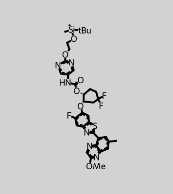 COc1cnc2c(-c3nc4cc(F)c(O[C@H]5CC(F)(F)CC[C@H]5OC(=O)Nc5cnc(OCCO[Si](C)(C)C(C)(C)C)nc5)cc4s3)cc(C)cc2n1